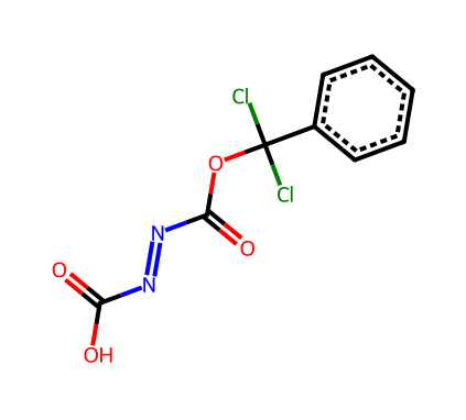 O=C(O)N=NC(=O)OC(Cl)(Cl)c1ccccc1